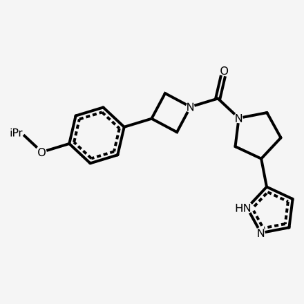 CC(C)Oc1ccc(C2CN(C(=O)N3CCC(c4ccn[nH]4)C3)C2)cc1